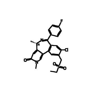 CCS(=O)(=O)Cc1cc2c(cc1Cl)C(c1ccc(F)cc1)=N[C@@H](C)c1cc(=O)n(C)cc1-2